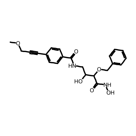 COCC#Cc1ccc(C(=O)NCC(O)C(OCc2ccccc2)C(=O)NO)cc1